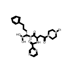 CCN1CCN(C(=O)CC(NC(=O)c2cnccn2)C(=O)N[C@@H](CCCc2ccccc2)B(O)O)CC1